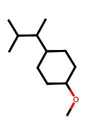 COC1CCC(C(C)C(C)C)CC1